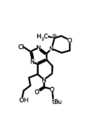 C[C@H]1COCCN1c1nc(Cl)nc2c1CCN(C(=O)OC(C)(C)C)C2CCCO